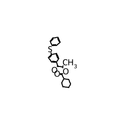 CC(OC(=O)C1CCCCC1)C(=O)c1ccc(Sc2ccccc2)cc1